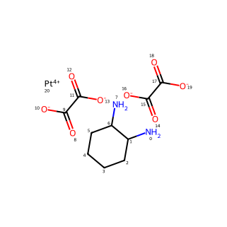 NC1CCCCC1N.O=C([O-])C(=O)[O-].O=C([O-])C(=O)[O-].[Pt+4]